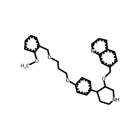 COc1ccccc1COCCCOc1ccc(C2CCNCC2OCc2ccc3cccnc3c2)cc1